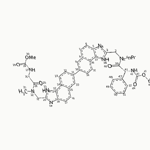 CCCN(Cc1nc2ccc3cc(-c4ccc5c(ccc6nc(CN(C)C(=O)CNC(=O)OC)[nH]c65)c4)ccc3c2[nH]1)C(=O)[C@H](NC(=O)OC(C)(C)C)c1ccccc1